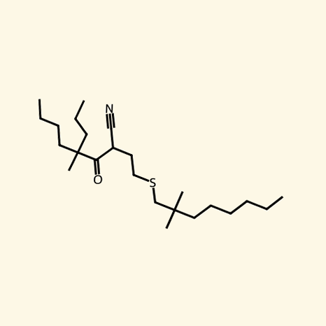 CCCCCCC(C)(C)CSCCC(C#N)C(=O)C(C)(CCC)CCCC